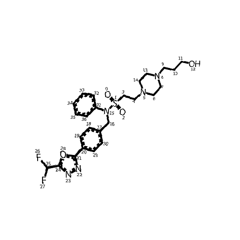 O=S(=O)(CCN1CCN(CCCO)CC1)N(Cc1ccc(-c2nnc(C(F)F)o2)cc1)c1ccccc1